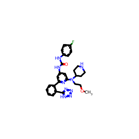 COCCN(c1cc(NC(=O)Nc2ccc(F)cc2)cc(-c2ccccc2-c2nnn[nH]2)n1)C1CCNCC1